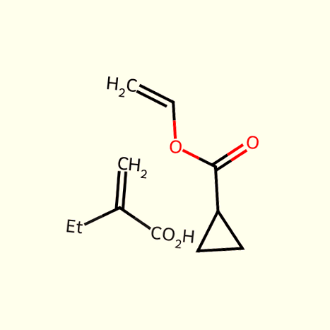 C=C(CC)C(=O)O.C=COC(=O)C1CC1